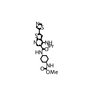 COC(=O)N[C@H]1CC[C@H](NC(=O)c2cnc3sc(-c4cncs4)cc3c2NC(C)C)CC1